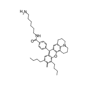 C=c1c(CCCC)cc2c(c1CCCC)Oc1c(cc3c4c1CCCN4CCC3)C=2c1ccc(C(=O)NCCCCCCN)cc1